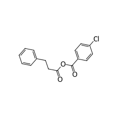 O=C(CCc1ccccc1)OC(=O)c1ccc(Cl)cc1